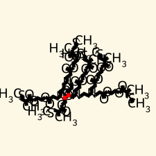 CSCC(C)C(=O)OCCOC(=O)CCN(CCCN(CCCN(CCC(=O)OCCOC(=O)C(C)CSC)CCC(=O)OCCOC(=O)C(C)CSC)CCC(=O)OCCOC(=O)C(C)CSC)CCCN(CCC(=O)OCCOC(=O)C(C)CSC)CCC(=O)OCCOC(=O)C(C)CSC